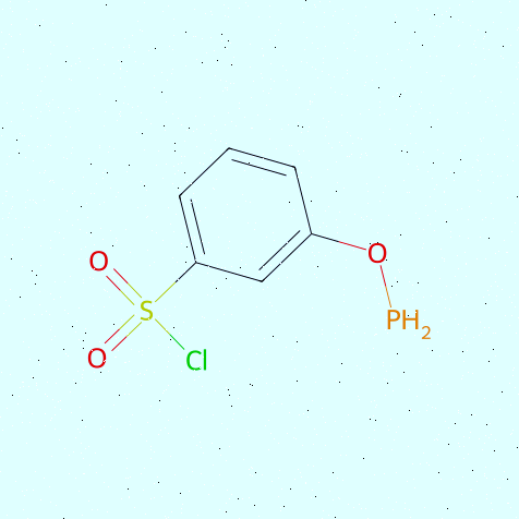 O=S(=O)(Cl)c1cccc(OP)c1